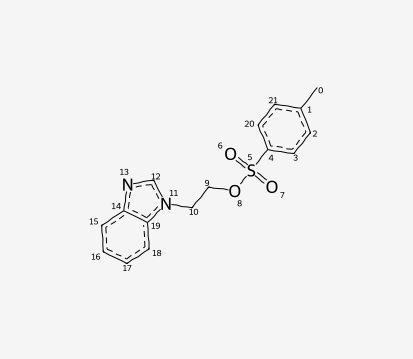 Cc1ccc(S(=O)(=O)OCCn2cnc3ccccc32)cc1